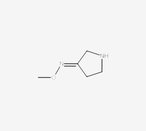 CO/N=C1\CCNC1